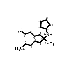 CCCCCC(C)(CCCCC)NC1CCCC1